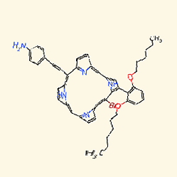 CCCCCCOc1cccc(OCCCCCC)c1-c1cc2cc3nc(c(C#Cc4ccc(N)cc4)c4ccc(cc5nc(c(Br)c1[nH]2)C=C5)[nH]4)C=C3